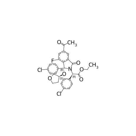 CCOC(=O)[C@@H](c1ccc(Cl)cc1)N1C(=O)c2cc(C(C)=O)cc(F)c2[C@]1(O[C@H]1CCOC1)c1ccc(Cl)cc1